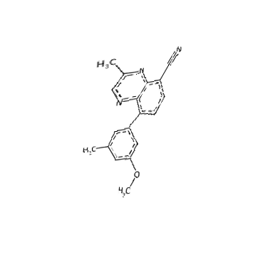 COc1cc(C)cc(-c2ccc(C#N)c3nc(C)cnc23)c1